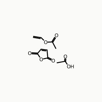 C=COC(C)=O.CC(=O)O.O=C1C=CC(=O)O1